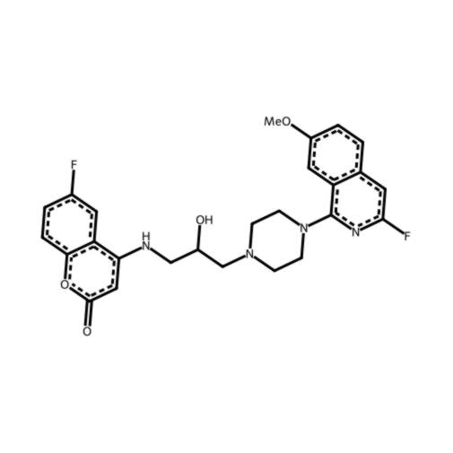 COc1ccc2cc(F)nc(N3CCN(CC(O)CNc4cc(=O)oc5ccc(F)cc45)CC3)c2c1